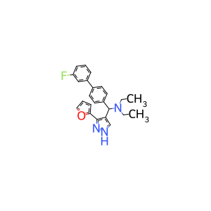 CCN(CC)C(c1ccc(-c2cccc(F)c2)cc1)c1c[nH]nc1-c1ccco1